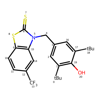 CC(C)(C)c1cc(Cn2c(=S)sc3ccc(C(F)(F)F)cc32)cc(C(C)(C)C)c1O